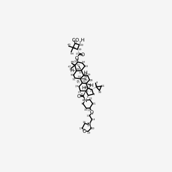 CC1([C@@H]2CC[C@]3(C(=O)N4CCC(OCCN5CCOCC5)CC4)CC[C@]4(C)[C@H](CC[C@@H]5[C@@]6(C)CC[C@H](OC(=O)[C@H]7C[C@@H](C(=O)O)C7(C)C)C(C)(C)[C@@H]6CC[C@]54C)[C@@H]23)CC1